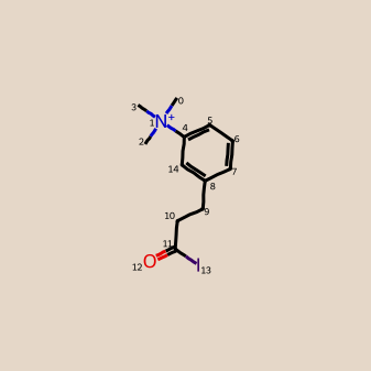 C[N+](C)(C)c1cccc(CCC(=O)I)c1